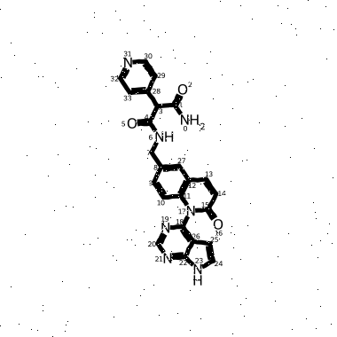 NC(=O)C(C(=O)NCc1ccc2c(ccc(=O)n2-c2ncnc3[nH]ccc23)c1)c1ccncc1